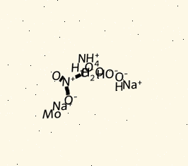 O.O.O=[N+]([O-])[O-].[Mo].[NH4+].[Na+].[Na+].[OH-].[OH-]